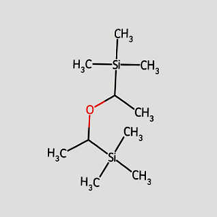 CC(OC(C)[Si](C)(C)C)[Si](C)(C)C